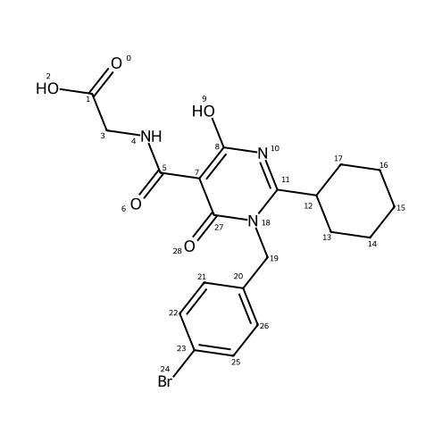 O=C(O)CNC(=O)c1c(O)nc(C2CCCCC2)n(Cc2ccc(Br)cc2)c1=O